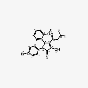 COc1ccccc1C1C(C(=O)CC(C)C)=C(O)C(=O)N1c1ccc(Br)cc1